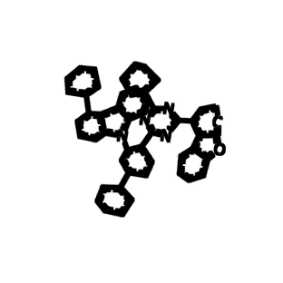 c1ccc(-c2ccc(-c3nc(-c4ccccc4)nc(-c4cccc5oc6ccccc6c45)n3)c(-n3c4ccccc4c4c(-c5ccccc5)cccc43)c2)cc1